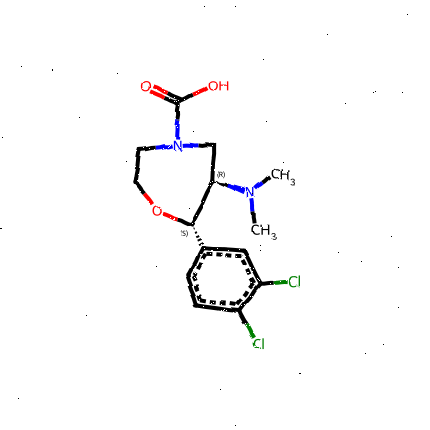 CN(C)[C@@H]1CN(C(=O)O)CCO[C@H]1c1ccc(Cl)c(Cl)c1